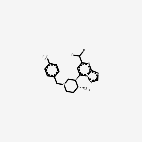 C[C@@H]1CCN(Cc2ccc(C(F)(F)F)cc2)C[C@H]1c1cc(C(F)F)nc2ncnn12